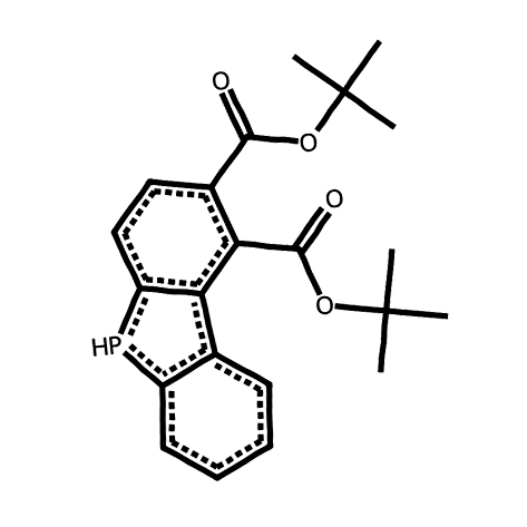 CC(C)(C)OC(=O)c1ccc2[pH]c3ccccc3c2c1C(=O)OC(C)(C)C